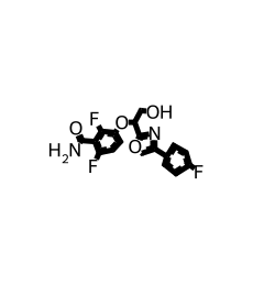 NC(=O)c1c(F)ccc(OC(CO)c2nc(-c3ccc(F)cc3)co2)c1F